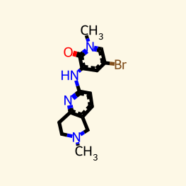 CN1CCc2nc(Nc3cc(Br)cn(C)c3=O)ccc2C1